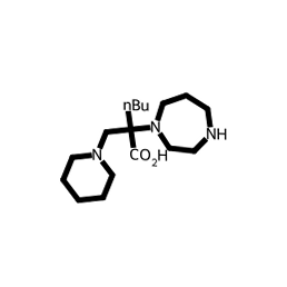 CCCCC(CN1CCCCC1)(C(=O)O)N1CCCNCC1